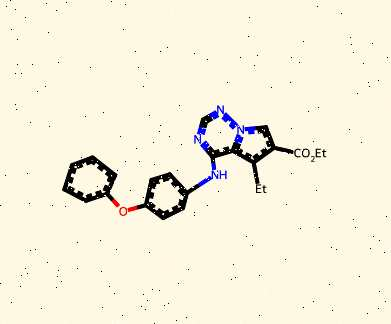 CCOC(=O)c1cn2ncnc(Nc3ccc(Oc4ccccc4)cc3)c2c1CC